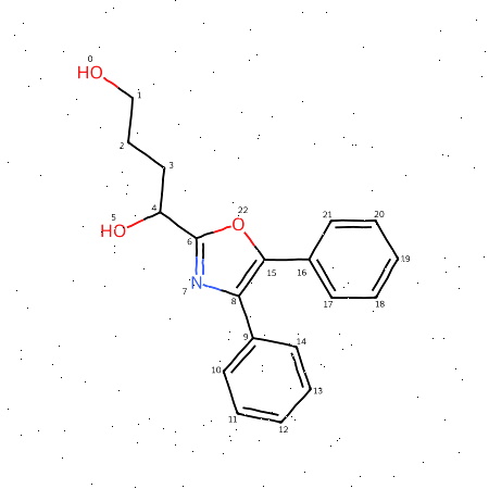 OCCCC(O)c1nc(-c2ccccc2)c(-c2ccccc2)o1